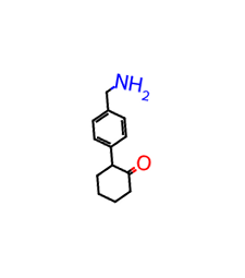 NCc1ccc(C2CCCCC2=O)cc1